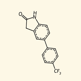 O=C1Cc2cc(-c3ccc(C(F)(F)F)cc3)ccc2N1